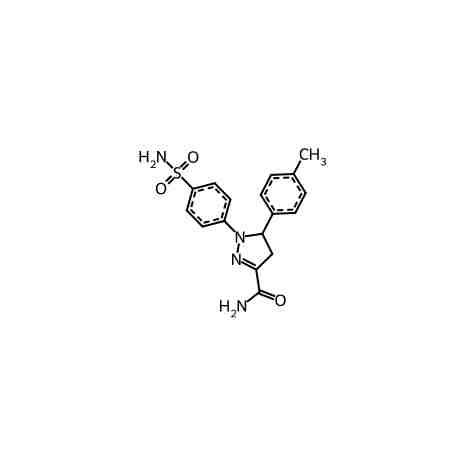 Cc1ccc(C2CC(C(N)=O)=NN2c2ccc(S(N)(=O)=O)cc2)cc1